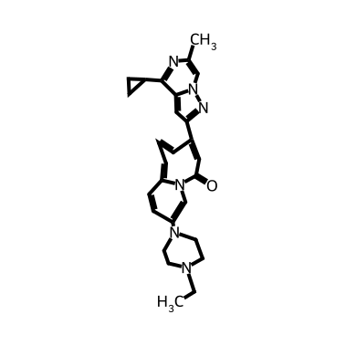 CCN1CCN(C2=CN3C(=O)\C=C(c4cc5c(C6CC6)nc(C)cn5n4)/C=C/C=C/3C=C2)CC1